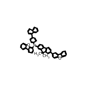 CC1(C)c2cc(-c3ccc4oc5ccccc5c4c3)ccc2-c2ccc(N(c3ccc(-c4cccc5ccccc45)cc3)c3cccc4c3oc3ccccc34)cc21